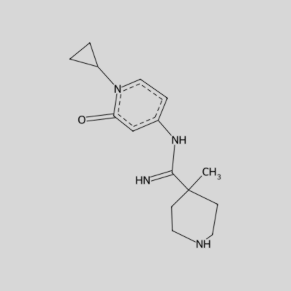 CC1(C(=N)Nc2ccn(C3CC3)c(=O)c2)CCNCC1